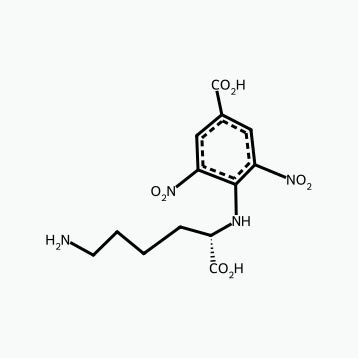 NCCCC[C@H](Nc1c([N+](=O)[O-])cc(C(=O)O)cc1[N+](=O)[O-])C(=O)O